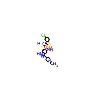 Cc1c(S(=O)(=O)Nc2ccc3[nH]nc(C4CCN(C)CC4)c3c2)sc2ccc(Cl)cc12